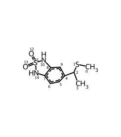 CSC(C)c1ccc2c(c1)NS(=O)(=O)N2